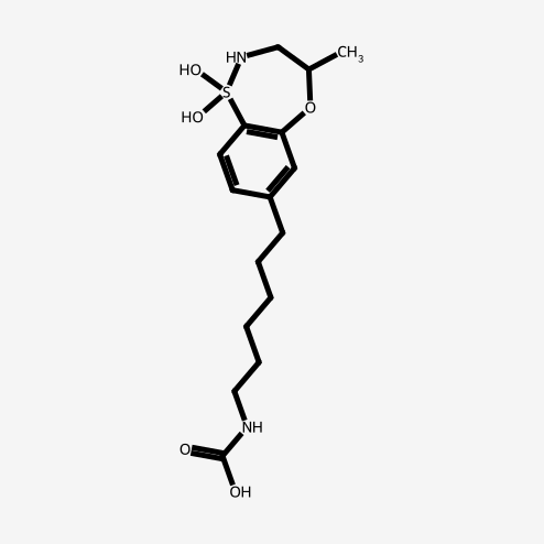 CC1CNS(O)(O)c2ccc(CCCCCCNC(=O)O)cc2O1